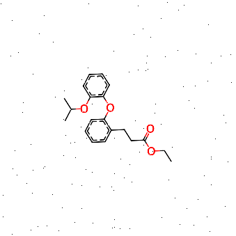 CCOC(=O)CCc1ccccc1Oc1ccccc1OC(C)C